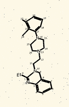 CCC1=Nc2ccccc2CN1CCN1CCN(c2cccc(C)c2C)CC1